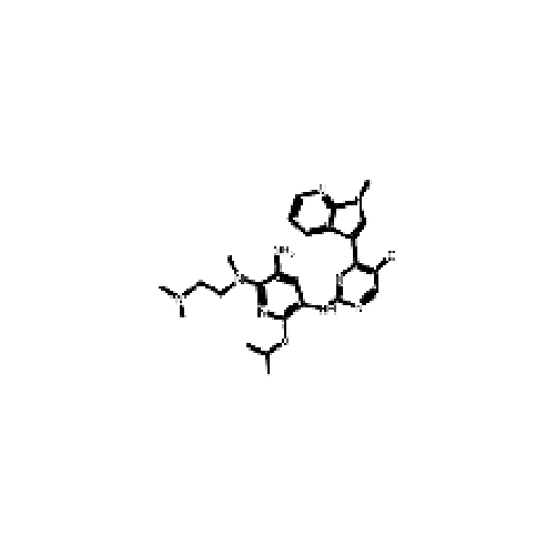 CC(C)Oc1nc(N(C)CCN(C)C)c(N)cc1Nc1ncc(Cl)c(-c2cn(C)c3ncccc23)n1